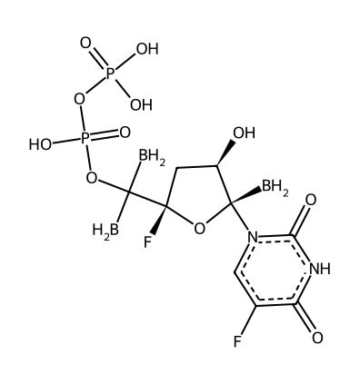 BC(B)(OP(=O)(O)OP(=O)(O)O)[C@]1(F)C[C@@H](O)[C@](B)(n2cc(F)c(=O)[nH]c2=O)O1